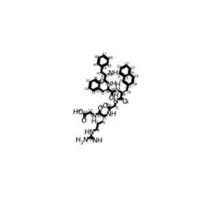 N=C(N)NCCC[C@@H](NC(=O)CNC(=O)[C@H](Cc1ccc2ccccc2c1)NC(=O)[C@@H](Cc1ccccc1)NC(=O)[C@@H](N)Cc1ccccc1)C(=O)NCC(=O)O